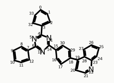 c1ccc(-c2nc(-c3ccccc3)nc(-c3ccc(-c4ccnc5ccccc45)cc3)n2)cc1